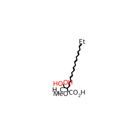 CCC=CCC=CCC=CCC=CCC=CCC=CC(C(OC)C(=O)O)C(C)C(O)O